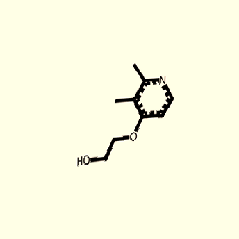 Cc1nccc(OCCO)c1C